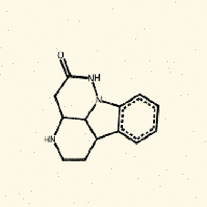 O=C1CC2NCCC3c4ccccc4N(N1)C23